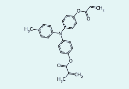 C=CC(=O)Oc1ccc(N(c2ccc(C)cc2)c2ccc(OC(=O)C(=C)C)cc2)cc1